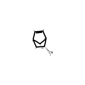 N#C[C@@H]1CC2C=CC1C2